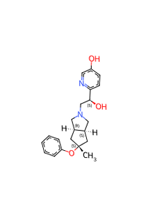 C[C@@]1(Oc2ccccc2)C[C@H]2CN(C[C@H](O)c3ccc(O)cn3)C[C@H]2C1